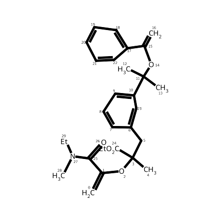 C=C(OC(C)(Cc1cccc(C(C)(C)OC(=C)c2ccccc2)c1)C(=O)OCC)C(=O)N(C)CC